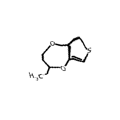 CC1COC2CSC=C2O1